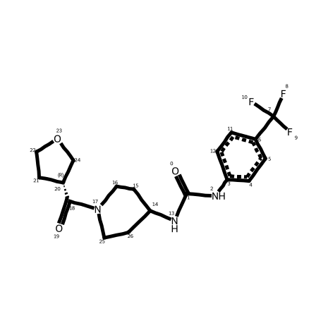 O=C(Nc1ccc(C(F)(F)F)cc1)NC1CCN(C(=O)[C@@H]2CCOC2)CC1